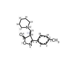 Cc1ccc(C2=NOC(=O)/C2=C\N2CCCCC2)cc1